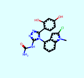 Cn1c(Cl)cc2c(-n3c(NC(N)=O)nnc3-c3ccc(O)cc3O)cccc21